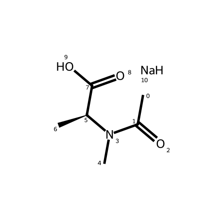 CC(=O)N(C)[C@@H](C)C(=O)O.[NaH]